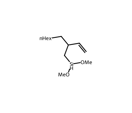 C=CC(CCCCCCC)C[SiH](OC)OC